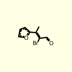 C/C(=C(/Br)C=O)c1ccco1